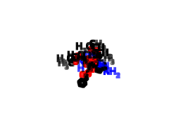 CC(C)C(NC(=O)OC(C)(C)C)C(=O)O[C@H]1[C@@H](OC(=O)[C@@H](NC(=O)OC(C)(C)C)C(C)C)[C@](C#N)(c2ccc3c(N)ncnn23)O[C@@H]1COC(=O)CC1CCCCC1